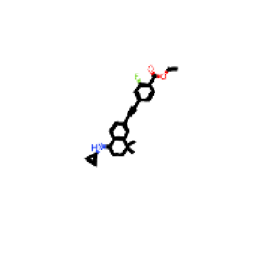 CCOC(=O)c1ccc(C#Cc2ccc3c(c2)C(C)(C)CCC3NC2CC2)cc1F